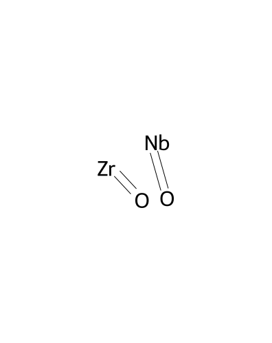 [O]=[Nb].[O]=[Zr]